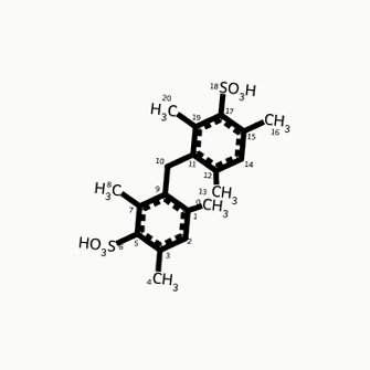 Cc1cc(C)c(S(=O)(=O)O)c(C)c1Cc1c(C)cc(C)c(S(=O)(=O)O)c1C